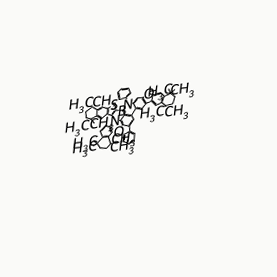 CC1(C)CCC(C)(C)c2cc(N3c4c(sc5cc6c(cc45)C(C)(C)CCC6(C)C)B4c5c(cc6c(oc7ccccc76)c53)-c3cc5c(cc3N4c3ccccc3)oc3cc4c(cc35)C(C)(C)CCC4(C)C)ccc21